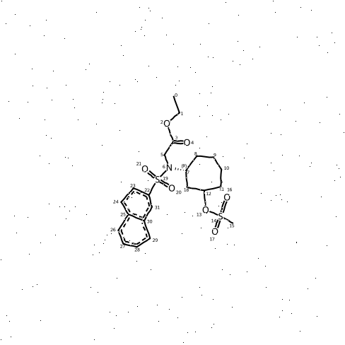 CCOC(=O)CN([C@@H]1CCCCC(OS(C)(=O)=O)C1)S(=O)(=O)c1ccc2ccccc2c1